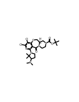 CN(C)C1CCN(c2nc(Cl)c(Cl)c3c2C(=O)N2CCN(C(=O)OC(C)(C)C)C[C@@H]2CO3)C1(C)C